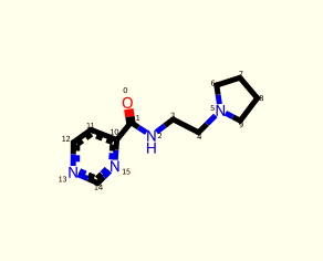 O=C(NCCN1CCCC1)c1ccncn1